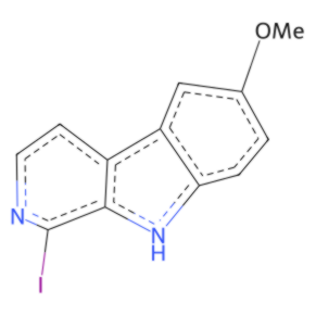 COc1ccc2[nH]c3c(I)nccc3c2c1